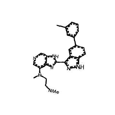 CNCCN(C)c1cncc2[nH]c(-c3n[nH]c4ccc(-c5cccc(C)c5)cc34)nc12